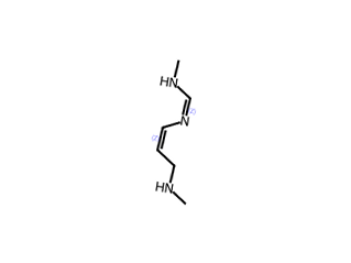 CN/C=N\C=C/CNC